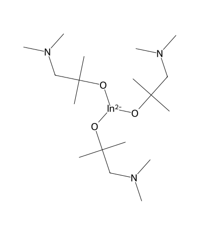 CN(C)CC(C)(C)[O][In-2]([O]C(C)(C)CN(C)C)[O]C(C)(C)CN(C)C